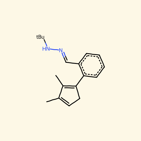 CC1=CCC(c2ccccc2C=NNC(C)(C)C)=C1C